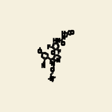 COc1ccc(-c2cn(COCC[Si](C)(C)C)c3nccc(Oc4c(F)cc(NC(=O)NCC5(C)COC5)cc4F)c23)c(C#N)c1